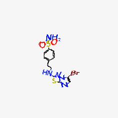 NS(=O)(=O)c1ccc(CCNc2nn3c(Br)cnc3s2)cc1